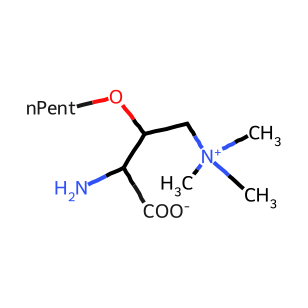 CCCCCOC(C[N+](C)(C)C)C(N)C(=O)[O-]